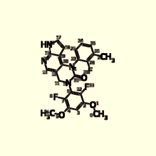 COc1cc(OC)c(F)c(N2Cc3cnc4[nH]ccc4c3N(c3cccc(C)c3F)C2=O)c1F